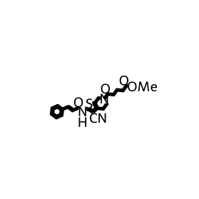 COC(=O)CCCC(=O)N1CCc2c(sc(NC(=O)/C=C/c3ccccc3)c2C#N)C1